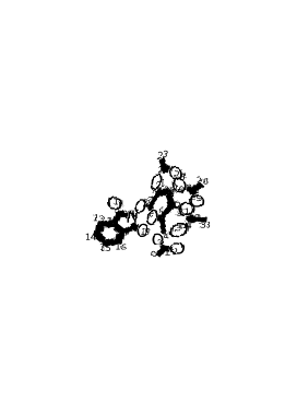 CC(=O)OCC1O[C@@H](ON2C(=O)c3ccccc3C2=O)C(OC(C)=O)C(OC(C)=O)[C@@H]1OC(C)=O